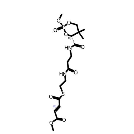 COC(=O)/C=C/C(=O)SCCNC(=O)CCNC(=O)[C@@H]1OP(=O)(OC)OCC1(C)C